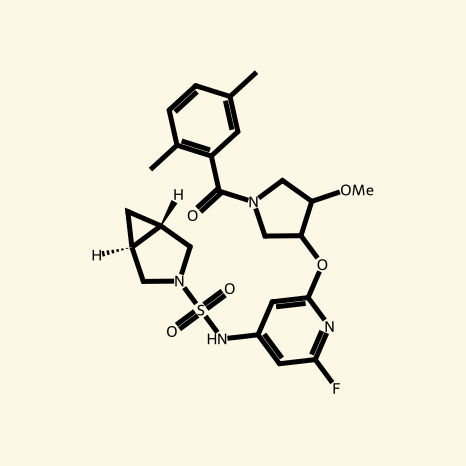 COC1CN(C(=O)c2cc(C)ccc2C)CC1Oc1cc(NS(=O)(=O)N2C[C@H]3C[C@@H]3C2)cc(F)n1